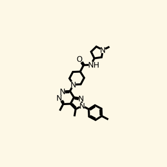 Cc1ccc(-n2nc3c(N4CCC(C(=O)NC5CCN(C)C5)CC4)nnc(C)c3c2C)cc1